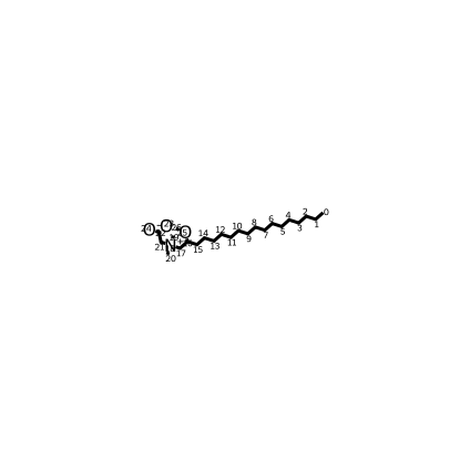 CCCCCCCCCCCCCCCCC(C[N+](C)(C)CC(=O)[O-])OC